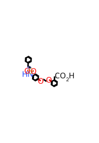 O=C(O)Cc1ccccc1OCCOc1ccc(NS(=O)(=O)/C=C/c2ccccc2)cc1